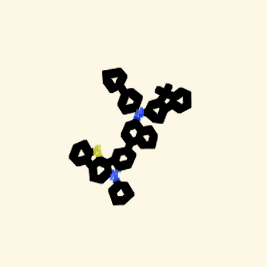 CC1(C)c2ccccc2-c2ccc(N(c3ccc(-c4ccccc4)cc3)c3ccc(-c4ccc5c(c4)c4c6sc7ccccc7c6ccc4n5-c4ccccc4)c4ccccc34)cc21